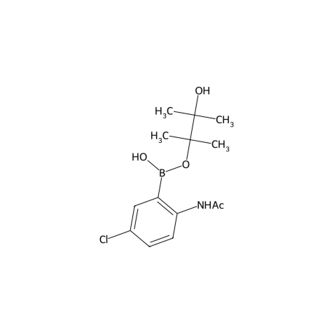 CC(=O)Nc1ccc(Cl)cc1B(O)OC(C)(C)C(C)(C)O